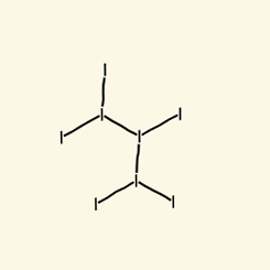 II(I)I(I)I(I)I